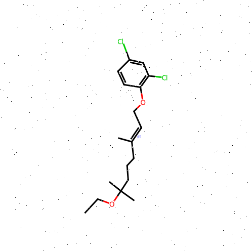 CCOC(C)(C)CCC/C(C)=C/COc1ccc(Cl)cc1Cl